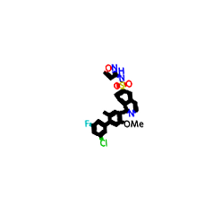 COc1cc(-c2cc(F)cc(Cl)c2)c(C)cc1-c1nccc2cc(S(=O)(=O)Nc3ccon3)ccc12